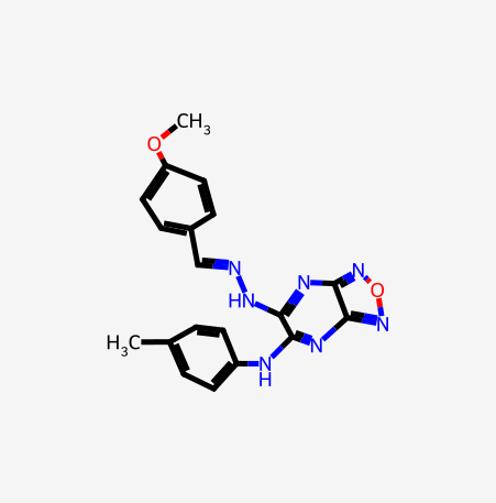 COc1ccc(C=NNc2nc3nonc3nc2Nc2ccc(C)cc2)cc1